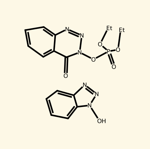 CCOP(=O)(OCC)On1nnc2ccccc2c1=O.On1nnc2ccccc21